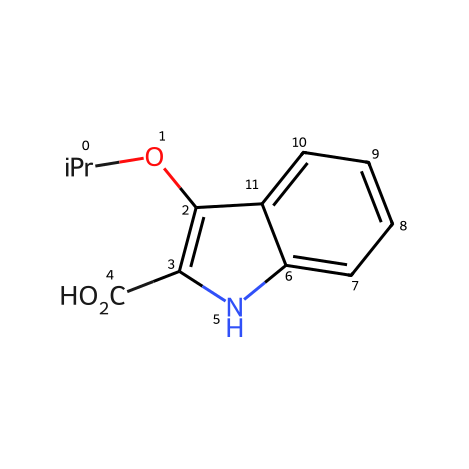 CC(C)Oc1c(C(=O)O)[nH]c2ccccc12